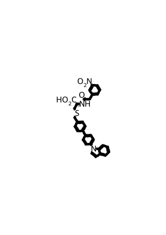 O=C(Cc1cccc([N+](=O)[O-])c1)N[C@@H](CSCc1ccc(-c2ccc(-n3ccc4ccccc43)cc2)cc1)C(=O)O